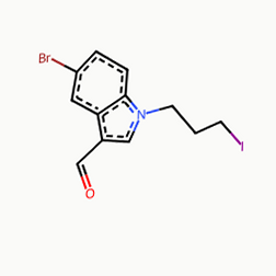 O=Cc1cn(CCCI)c2ccc(Br)cc12